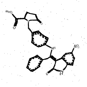 COC(=O)C1CCC(=O)N1Cc1ccc(NC(=C2C(=O)Nc3ccc([N+](=O)[O-])cc32)c2ccccc2)cc1